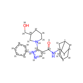 O=C(NC12CC3CC(CC(C3)C1)C2)c1cnn(-c2ccccc2)c1N1CCCC(CO)C1